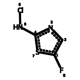 Fc1cnc(NCl)s1